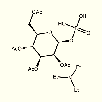 CC(=O)OC[C@H]1O[C@@H](OP(=O)(O)O)[C@@H](OC(C)=O)[C@@H](OC(C)=O)[C@@H]1OC(C)=O.CCN(CC)CC